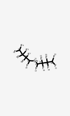 FC(F)C(F)(F)C(F)(F)[CH](F)[Sn][CH](F)C(F)(F)C(F)(F)C(F)F